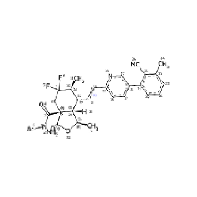 CC(=O)N(N)C(=O)[C@@]12CC(F)(F)[C@@H](C)[C@H](/C=C/c3ccc(-c4cccc(C)c4C#N)cn3)[C@@H]1[C@@H](C)OC2=O